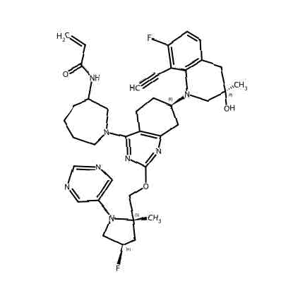 C#Cc1c(F)ccc2c1N([C@@H]1CCc3c(nc(OC[C@]4(C)C[C@@H](F)CN4c4cncnc4)nc3N3CCCCC(NC(=O)C=C)C3)C1)C[C@](C)(O)C2